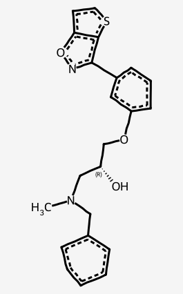 CN(Cc1ccccc1)C[C@@H](O)COc1cccc(-c2noc3ccsc23)c1